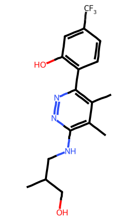 Cc1c(NCC(C)CO)nnc(-c2ccc(C(F)(F)F)cc2O)c1C